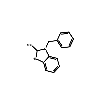 CC(C)(C)C1Nc2ccccc2N1Cc1ccccc1